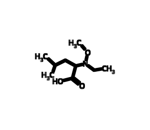 CCN(OC)C(CC(C)C)C(=O)O